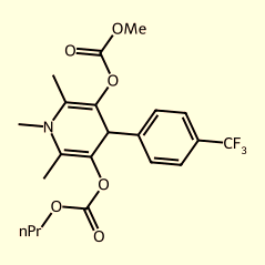 CCCOC(=O)OC1=C(C)N(C)C(C)=C(OC(=O)OC)C1c1ccc(C(F)(F)F)cc1